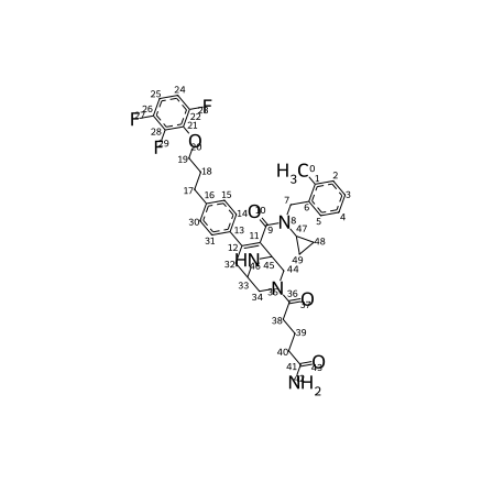 Cc1ccccc1CN(C(=O)C1=C(c2ccc(CCCOc3c(F)ccc(F)c3F)cc2)CC2CN(C(=O)CCCC(N)=O)CC1N2)C1CC1